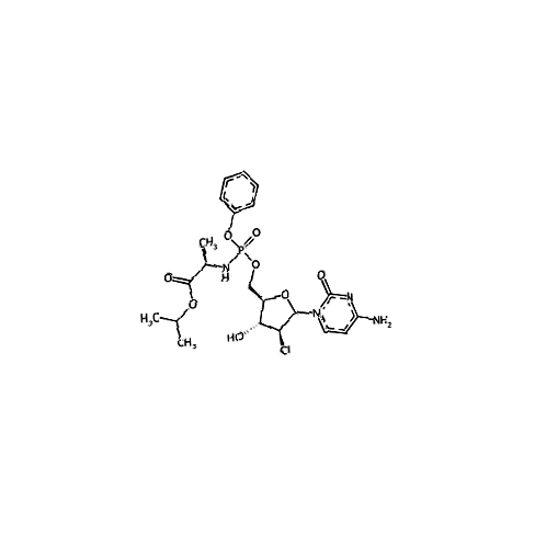 CC(C)OC(=O)[C@@H](C)NP(=O)(OC[C@H]1OC(n2ccc(N)nc2=O)[C@@H](Cl)[C@@H]1O)Oc1ccccc1